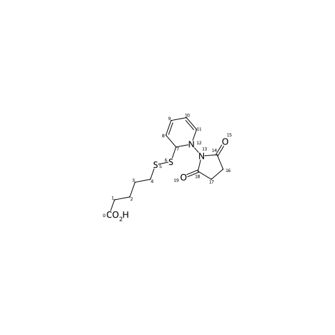 O=C(O)CCCCSSC1C=CC=CN1N1C(=O)CCC1=O